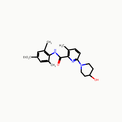 CCOC(=O)c1cc(C)c(NC(=O)c2nc(N3CCC(O)CC3)ccc2C)c(C)c1